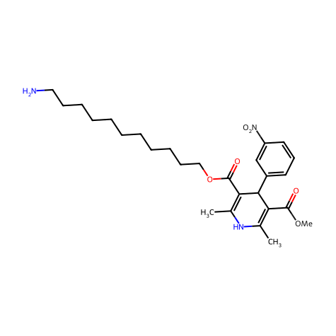 COC(=O)C1=C(C)NC(C)=C(C(=O)OCCCCCCCCCCCN)C1c1cccc([N+](=O)[O-])c1